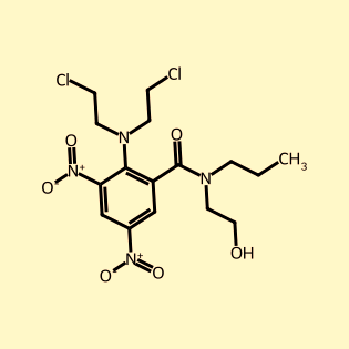 CCCN(CCO)C(=O)c1cc([N+](=O)[O-])cc([N+](=O)[O-])c1N(CCCl)CCCl